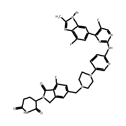 Cc1nc2c(F)cc(-c3nc(Nc4ccc(N5CCN(Cc6cc(F)c7c(c6)CN(C6CCC(=O)NC6=O)C7=O)CC5)cn4)ncc3F)cc2n1C(C)C